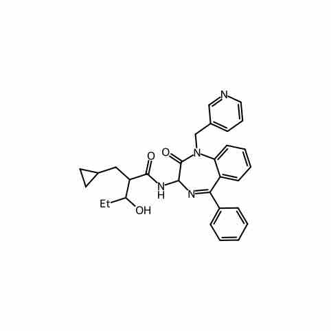 CCC(O)C(CC1CC1)C(=O)NC1N=C(c2ccccc2)c2ccccc2N(Cc2cccnc2)C1=O